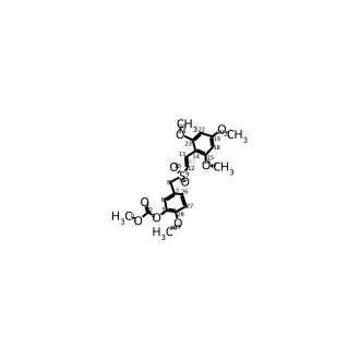 COC(=O)Oc1cc(CS(=O)(=O)/C=C/c2c(OC)cc(OC)cc2OC)ccc1OC